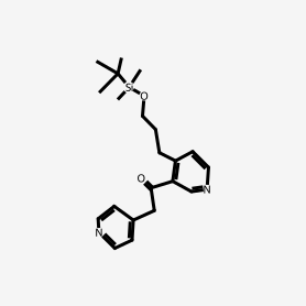 CC(C)(C)[Si](C)(C)OCCCc1ccncc1C(=O)Cc1ccncc1